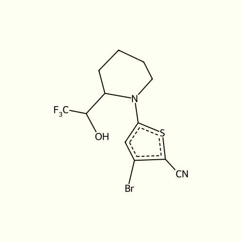 N#Cc1sc(N2CCCCC2C(O)C(F)(F)F)cc1Br